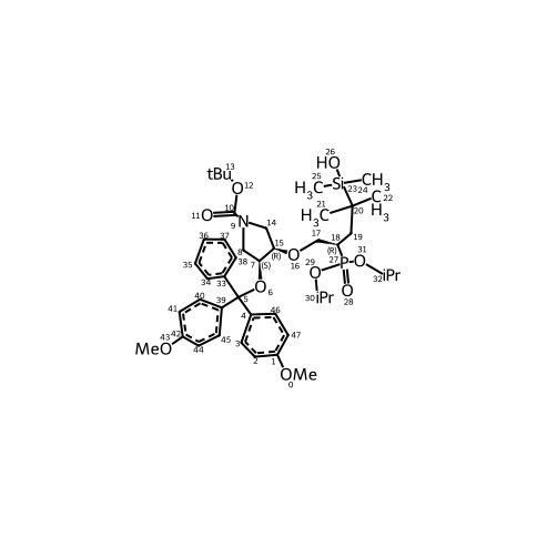 COc1ccc(C(O[C@H]2CN(C(=O)OC(C)(C)C)C[C@H]2OC[C@@H](CC(C)(C)[Si](C)(C)O)P(=O)(OC(C)C)OC(C)C)(c2ccccc2)c2ccc(OC)cc2)cc1